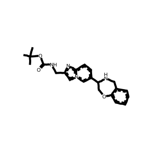 CC(C)(C)OC(=O)NCc1cn2cc(C3COc4ccccc4CN3)ccc2n1